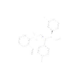 C=Cc1ccccc1S(=O)(=O)N[C@H](c1ccc(Cl)cc1)[C@H](C=C)c1cccc(Cl)c1